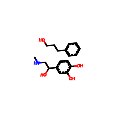 CNCC(O)c1ccc(O)c(O)c1.OCCCc1ccccc1